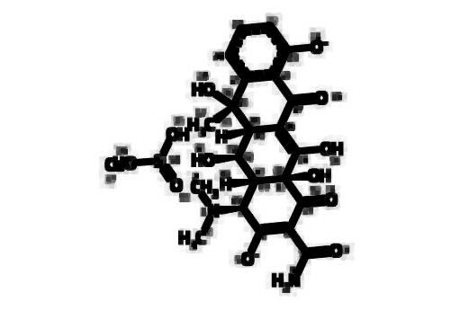 CN(C)[C@@H]1C([O-])=C(C(N)=O)C(=O)[C@@]2(O)C(O)=C3C(=O)c4c([O-])cccc4[C@@](C)(O)[C@H]3[C@H](O)[C@@H]12.O=[Si](O)O.[Ca+2]